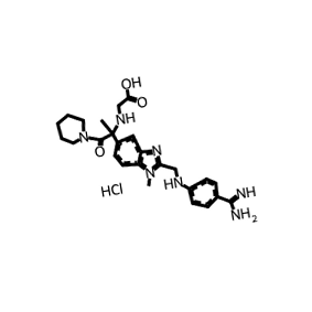 Cl.Cn1c(CNc2ccc(C(=N)N)cc2)nc2cc(C(C)(NCC(=O)O)C(=O)N3CCCCC3)ccc21